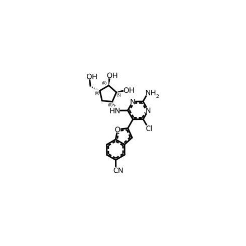 N#Cc1ccc2oc(-c3c(Cl)nc(N)nc3N[C@@H]3C[C@H](CO)[C@@H](O)[C@H]3O)cc2c1